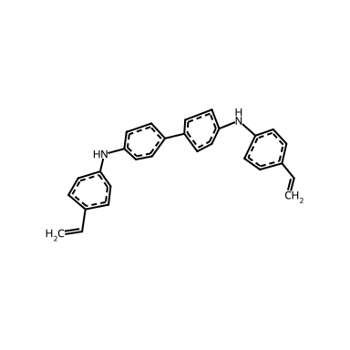 C=Cc1ccc(Nc2ccc(-c3ccc(Nc4ccc(C=C)cc4)cc3)cc2)cc1